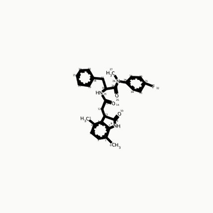 Cc1ccc(C)c2c1NC(=O)C2CC(=O)NC(Cc1ccccc1)C(=O)N(C)c1ccc(F)cc1